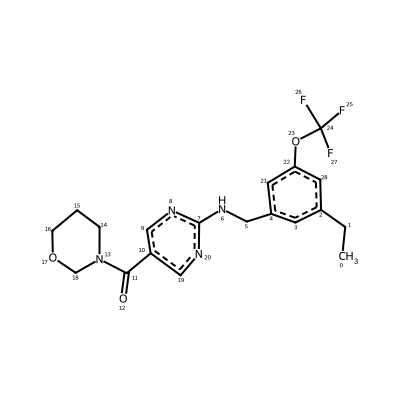 CCc1cc(CNc2ncc(C(=O)N3CCCOC3)cn2)cc(OC(F)(F)F)c1